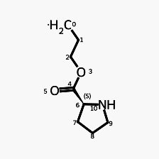 [CH2]CCOC(=O)[C@@H]1CCCN1